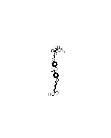 C=C(C)C(=O)OCCOc1ccc(OC(=O)c2ccc(OCCCCCC(=O)O)cc2)cc1